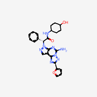 Nc1nc2c(cnn2[C@@H](C(=O)NC2CCC(O)CC2)c2ccccc2)c2nc(-c3ccco3)nn12